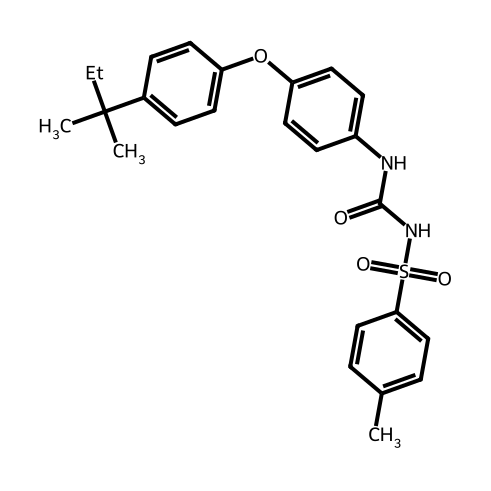 CCC(C)(C)c1ccc(Oc2ccc(NC(=O)NS(=O)(=O)c3ccc(C)cc3)cc2)cc1